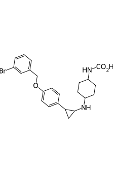 O=C(O)NC1CCC(NC2CC2c2ccc(OCc3cccc(Br)c3)cc2)CC1